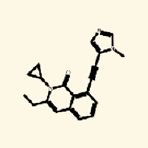 CCc1cc2cccc(C#Cc3cncn3C)c2c(=O)n1C1CC1